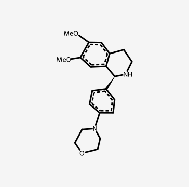 COc1cc2c(cc1OC)[C@H](c1ccc(N3CCOCC3)cc1)NCC2